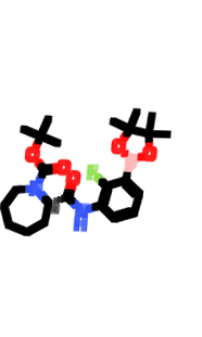 CC(C)(C)OC(=O)N1CCCCC[C@H]1C(=O)Nc1cccc(B2OC(C)(C)C(C)(C)O2)c1F